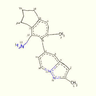 Cc1cc2cc(-c3c(C)cc4c(c3N)CCC4)ccn2n1